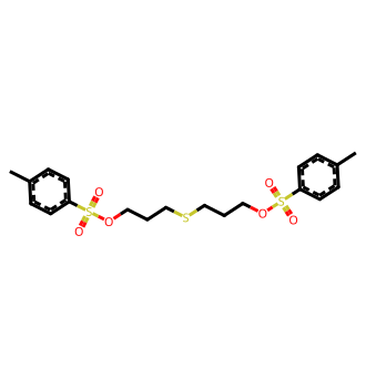 Cc1ccc(S(=O)(=O)OCCCSCCCOS(=O)(=O)c2ccc(C)cc2)cc1